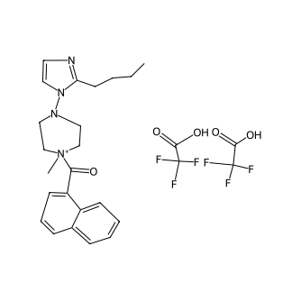 CCCCc1nccn1N1CC[N+](C)(C(=O)c2cccc3ccccc23)CC1.O=C(O)C(F)(F)F.O=C(O)C(F)(F)F